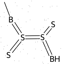 B=S(=S)=S(=S)=BC